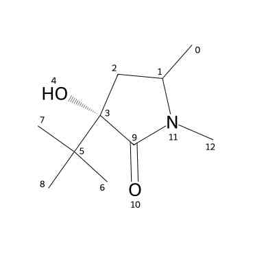 CC1C[C@](O)(C(C)(C)C)C(=O)N1C